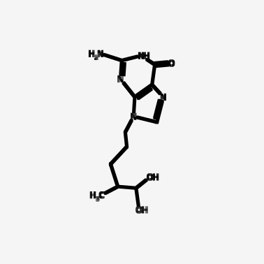 CC(CCCn1cnc2c(=O)[nH]c(N)nc21)C(O)O